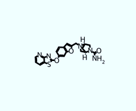 NC(=O)N1C[C@H]2C[C@@H]1CN2Cc1cc2ccc(Oc3nc4ncccc4s3)cc2o1